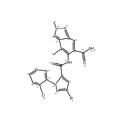 Cc1c(NC(=O)c2cc(Br)nn2-c2ncccc2Cl)c(C(N)=O)cc2nn(C)cc12